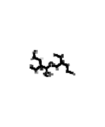 CCCC(CC)COC(O)C(CC)CCC